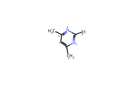 [CH2]Cc1nc(C)cc(C)n1